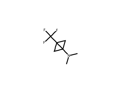 CN(C)C12CC1(C(F)(F)F)C2